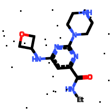 CCNC(=O)c1cc(NC2COC2)nc(N2CCNCC2)n1